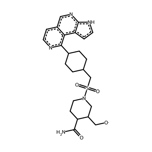 NC(=O)C1CCN(S(=O)(=O)CC2CCC(c3nccc4cnc5[nH]ccc5c34)CC2)CC1C[O]